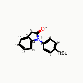 CC(C)(C)c1ccc(N2C(=O)Cc3ccccc32)cc1